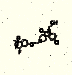 CS(=O)(=O)c1ccc(OCCN2CCC3(CC2)C(=O)N(CCO)c2ccc(Cl)cc23)cc1C(F)F